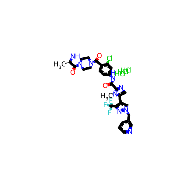 C[C@H](N)C(=O)N1CCN(C(=O)c2ccc(NC(=O)c3ncc(-c4cn(Cc5cccnc5)nc4C(F)(F)F)n3C)cc2Cl)CC1.Cl.Cl.Cl